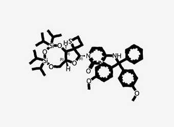 COc1ccc(C(Nc2ccn([C@@H]3O[C@@H]4CO[Si](C(C)C)(C(C)C)O[Si](C(C)C)(C(C)C)O[C@H]4C34CCS4)c(=O)n2)(c2ccccc2)c2ccc(OC)cc2)cc1